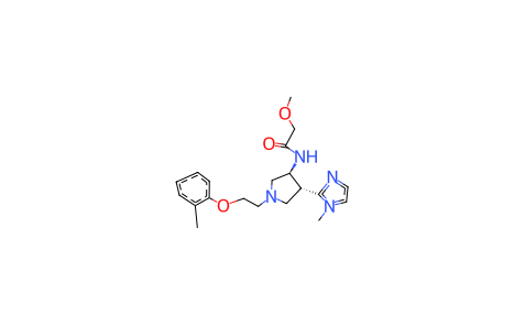 COCC(=O)N[C@@H]1CN(CCOc2ccccc2C)C[C@H]1c1nccn1C